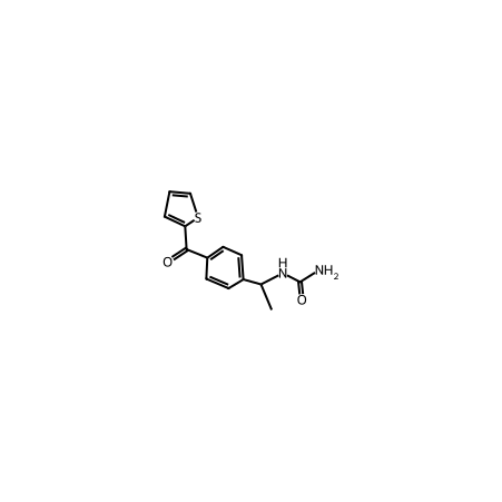 CC(NC(N)=O)c1ccc(C(=O)c2cccs2)cc1